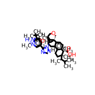 CC(C)[C@@H](C)[C@@]1(C)CC[C@]2(C)[C@H]3CC[C@@H]4[C@@]5(COC[C@]4(C)[C@@H](OC[C@](C)(N)C(C)(C)C)[C@H](n4ncnc4-c4ccc[n+](C)c4)C5)C3=CC[C@@]2(C)[C@@H]1C(=O)O